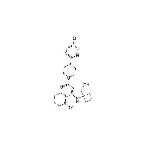 [O-][S@+]1CCCc2nc(N3CCC(c4ncc(Cl)cn4)CC3)nc(NC3(CO)CCC3)c21